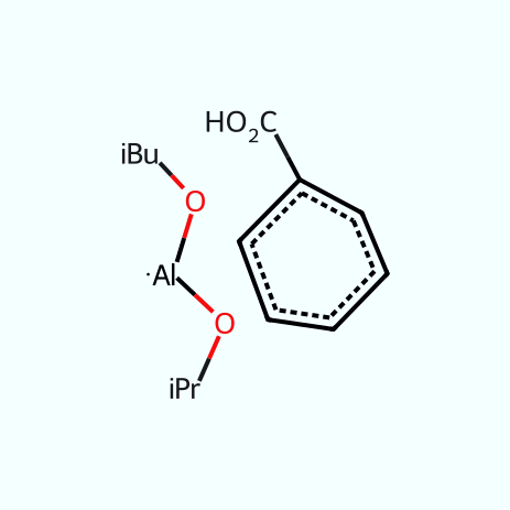 CCC(C)[O][Al][O]C(C)C.O=C(O)c1ccccc1